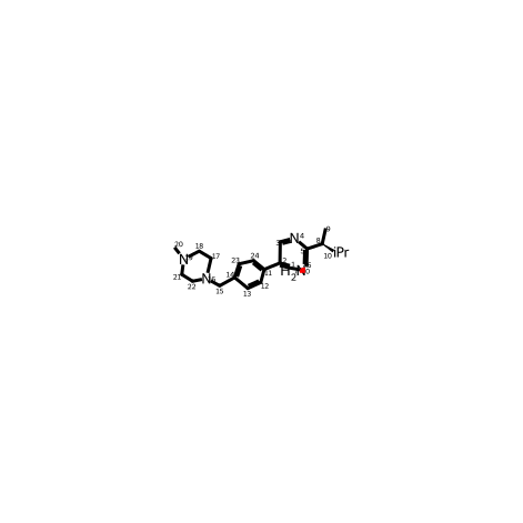 C\C=C(/C=N\C(=C/N)[C@@H](C)C(C)C)c1ccc(CN2CCN(C)CC2)cc1